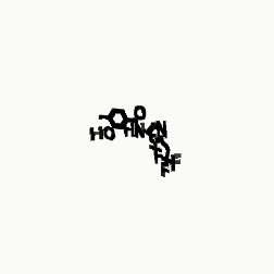 Cc1ccc(C(=O)Nc2cnc(CC(F)(F)F)s2)cc1O